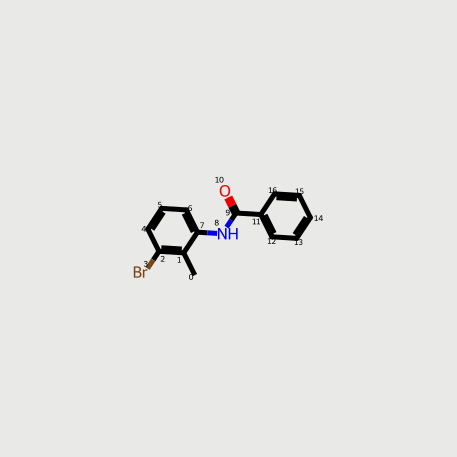 Cc1c(Br)cccc1NC(=O)c1ccccc1